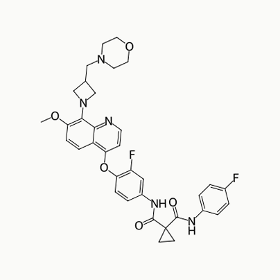 COc1ccc2c(Oc3ccc(NC(=O)C4(C(=O)Nc5ccc(F)cc5)CC4)cc3F)ccnc2c1N1CC(CN2CCOCC2)C1